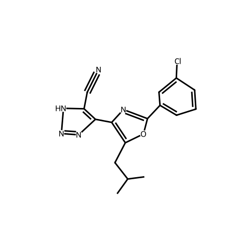 CC(C)Cc1oc(-c2cccc(Cl)c2)nc1-c1nn[nH]c1C#N